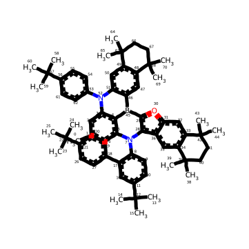 Cc1cc2c3c(c1)N(c1ccc(C(C)(C)C)cc1-c1ccc(C(C)(C)C)cc1)c1c(oc4cc5c(cc14)C(C)(C)CCC5(C)C)B3c1cc3c(cc1N2c1ccc(C(C)(C)C)cc1)C(C)(C)CCC3(C)C